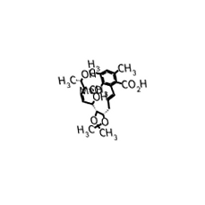 COc1c(C)cc(C)c(C(=O)O)c1/C=C/C[C@@H]1OC(C)(C)O[C@@H]1C(O)/C=C\[C@@H](C)[C@H](C)O